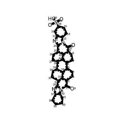 O=c1c2ccc3c4ccc5c(=O)n6c7ccc(S(=O)(=O)O)cc7nc6c6ccc(c7ccc(c2c37)c2nc3ccccc3n12)c4c56